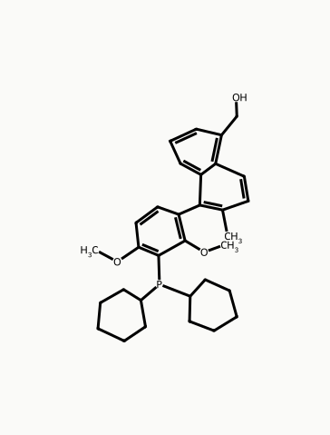 COc1ccc(-c2c(C)ccc3c(CO)cccc23)c(OC)c1P(C1CCCCC1)C1CCCCC1